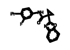 CC(C)c1ccc(NC(=O)C2(c3nc4ccccc4o3)CC2)cc1F